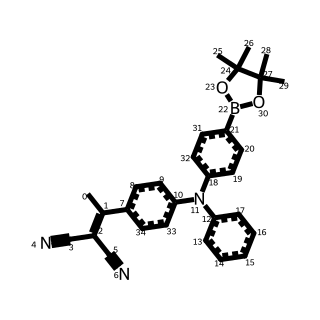 CC(=C(C#N)C#N)c1ccc(N(c2ccccc2)c2ccc(B3OC(C)(C)C(C)(C)O3)cc2)cc1